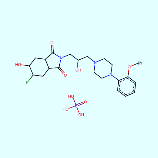 CC(C)Oc1ccccc1N1CCN(CC(O)CN2C(=O)C3CC(O)C(F)CC3C2=O)CC1.O=P(O)(O)O